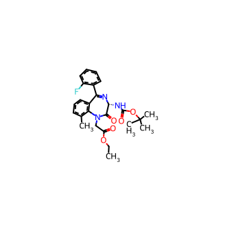 CCOC(=O)CN1C(=O)[C@@H](NC(=O)OC(C)(C)C)N=C(c2ccccc2F)c2cccc(C)c21